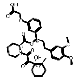 COc1ccc(CC[C@@H](OC(=O)[C@@H]2CCCCN2C(=O)C(=O)[C@]2(O)CCCC[C@@H]2C)c2cccc(OCC(=O)O)c2)cc1OC